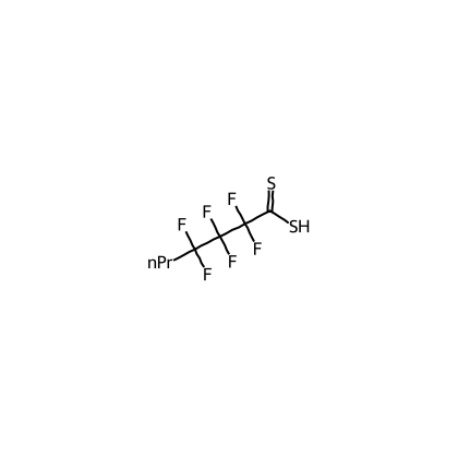 CCCC(F)(F)C(F)(F)C(F)(F)C(=S)S